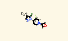 O=[N+]([O-])c1cnn([C@H]2CCN(C3COC3)C[C@@H]2F)c1Cl